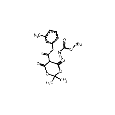 CC(C)(C)OC(=O)N[C@H](C(=O)C1C(=O)OC(C)(C)OC1=O)c1cccc(C(F)(F)F)c1